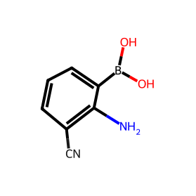 N#Cc1cccc(B(O)O)c1N